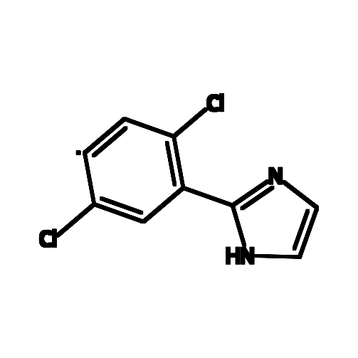 Clc1[c]cc(Cl)c(-c2ncc[nH]2)c1